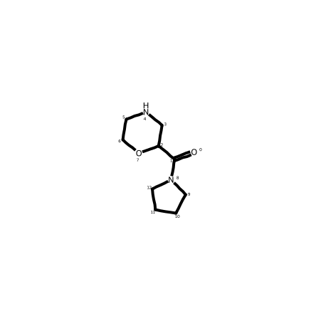 O=C([C]1CNCCO1)N1CCCC1